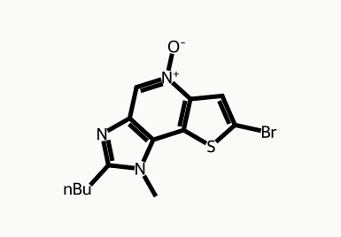 CCCCc1nc2c[n+]([O-])c3cc(Br)sc3c2n1C